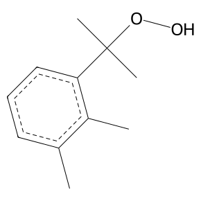 Cc1cccc(C(C)(C)OO)c1C